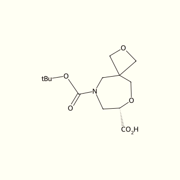 CC(C)(C)OC(=O)N1C[C@@H](C(=O)O)OCC2(COC2)C1